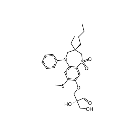 CCCC[C@]1(CC)CN(c2ccccc2)c2cc(SC)c(OC[C@@](O)(C=O)CO)cc2S(=O)(=O)C1